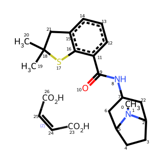 CN1C2CCC1CC(NC(=O)c1cccc3c1SC(C)(C)C3)C2.O=C(O)/C=C\C(=O)O